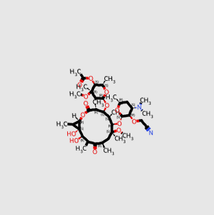 CO[C@]1(C)C[C@H](O[C@H]2[C@H](C)[C@@H](O[C@@H]3O[C@H](C)C[C@H](N(C)C)[C@H]3OCC#N)[C@@](C)(OC)C[C@@H](C)C(=O)C(C)[C@@H](O)[C@@]3(O)C(C)[C@H]3OC(=O)[C@@H]2C)O[C@@H](C)[C@@H]1OC(C)=O